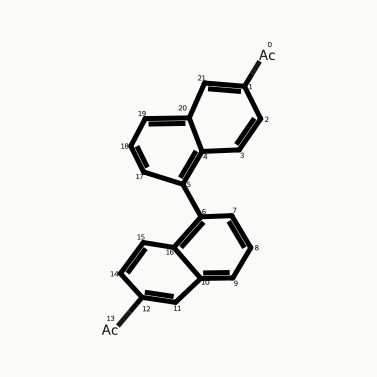 CC(=O)c1ccc2c(-c3cccc4cc(C(C)=O)ccc34)cccc2c1